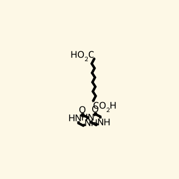 O=C(O)CCCCCCCCCCC(=O)O.O=C1CNCCN1.O=C1CNCCN1